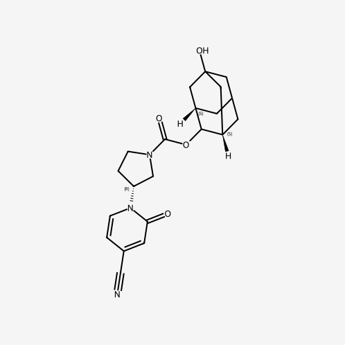 N#Cc1ccn([C@@H]2CCN(C(=O)OC3[C@H]4CC5C[C@H]3CC(O)(C5)C4)C2)c(=O)c1